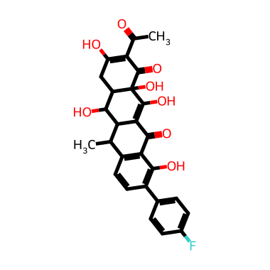 CC(=O)C1=C(O)CC2C(O)C3C(=C(O)C2(O)C1=O)C(=O)c1c(ccc(-c2ccc(F)cc2)c1O)C3C